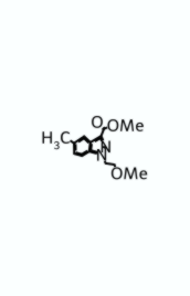 COCCn1nc(C(=O)OC)c2cc(C)ccc21